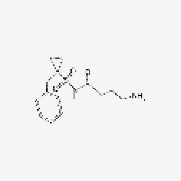 NCCCC(=O)NS(=O)(=O)C1(Cc2ccccc2)CC1